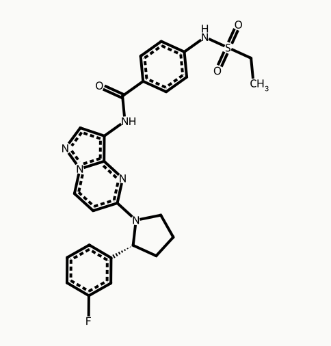 CCS(=O)(=O)Nc1ccc(C(=O)Nc2cnn3ccc(N4CCC[C@@H]4c4cccc(F)c4)nc23)cc1